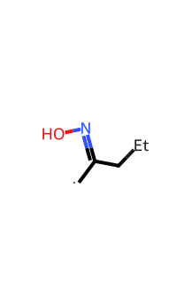 [CH2]C(CCC)=NO